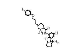 COC1CN(CCCOc2ccc(F)cc2)CCC1C(=O)Nc1cc(Cl)cc2c1OC1CCCCC21N